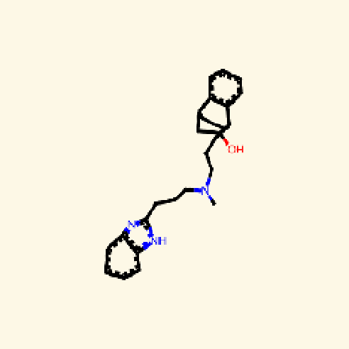 CN(CCCc1nc2ccccc2[nH]1)CCC1(O)CC2CCC1c1ccccc12